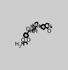 CC(Oc1cccc(C(=O)Nc2cc3n(n2)CCN3c2ccc3c(c2)CCN(C)C3=O)c1)C(N)=O